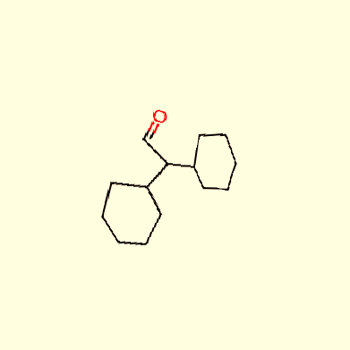 O=CC(C1CCCCC1)C1CCCCC1